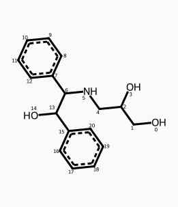 OCC(O)CNC(c1ccccc1)C(O)c1ccccc1